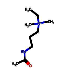 CC[N+](C)(C)CCCNC(C)=O